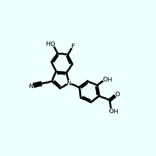 N#Cc1cn(-c2ccc(C(=O)O)c(O)c2)c2cc(F)c(O)cc12